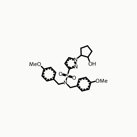 COc1ccc(CN(Cc2ccc(OC)cc2)S(=O)(=O)c2ccn(C3CCCC3O)n2)cc1